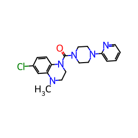 CN1CCN(C(=O)N2CCN(c3ccccn3)CC2)c2ccc(Cl)cc21